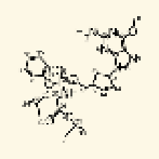 COc1nc(N)nc2c1ncn2[C@H]1C=CC(COP(=O)(N[C@@H](CC(C)C)C(=O)OC(C)C)Oc2ccccc2)C1